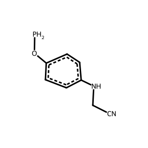 N#CCNc1ccc(OP)cc1